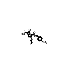 C[C@@H](O)C1C(=O)N2C(C(=O)OCc3ccc([N+](=O)[O-])cc3)=C(SCCI)CC12